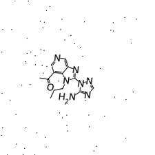 CCCn1c(-n2ncnc2N)nc2cncc(C(C)=O)c21